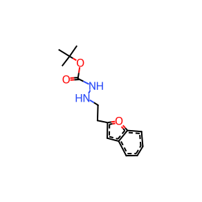 CC(C)(C)OC(=O)NNCCc1cc2ccccc2o1